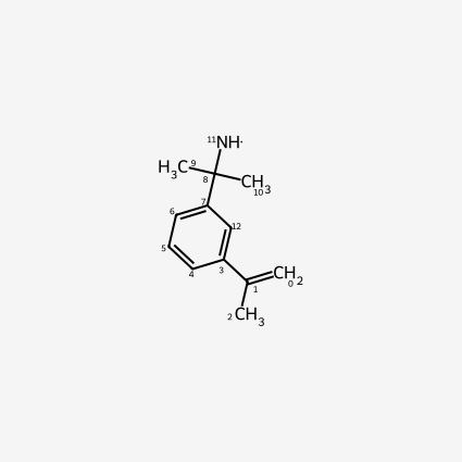 C=C(C)c1cccc(C(C)(C)[NH])c1